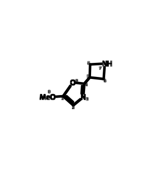 COc1cnc(C2CNC2)o1